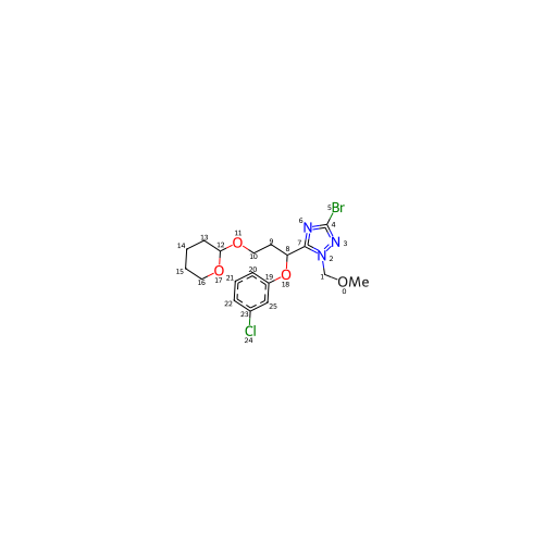 COCn1nc(Br)nc1C(CCOC1CCCCO1)Oc1cccc(Cl)c1